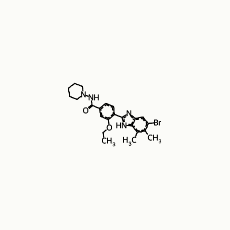 CCOc1cc(C(=O)NN2CCCCC2)ccc1-c1nc2cc(Br)c(C)c(C)c2[nH]1